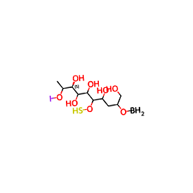 BOC(CO)CC(O)C(OS)C(O)C(O)[C@H](O)C(C)OI